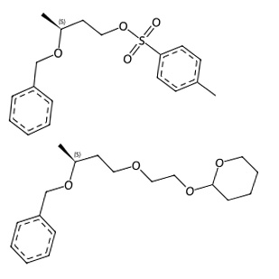 C[C@@H](CCOCCOC1CCCCO1)OCc1ccccc1.Cc1ccc(S(=O)(=O)OCC[C@H](C)OCc2ccccc2)cc1